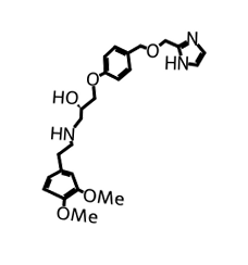 COc1ccc(CCNC[C@H](O)COc2ccc(COCc3ncc[nH]3)cc2)cc1OC